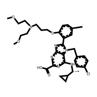 COCCN(CCCOc1ccc(C)cc1-c1nc2nc(C(=O)O)nc(N[C@H](C)C3CC3)c2n1Cc1ccc(Cl)cc1)CCOC